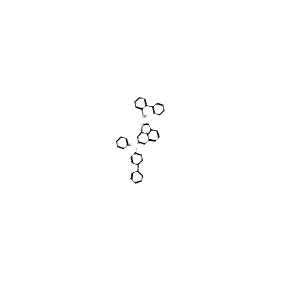 c1ccc(-c2ccccc2-c2nc3c(o2)-c2cc(N(c4ccccc4)c4ccc5c(c4)sc4ccccc45)cc4cccc-3c24)cc1